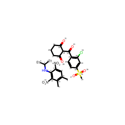 CCC(CC)Nc1c([N+](=O)[O-])cc(C)c(C)c1[N+](=O)[O-].CS(=O)(=O)c1ccc(C(=O)C2C(=O)CCCC2=O)c(Cl)c1